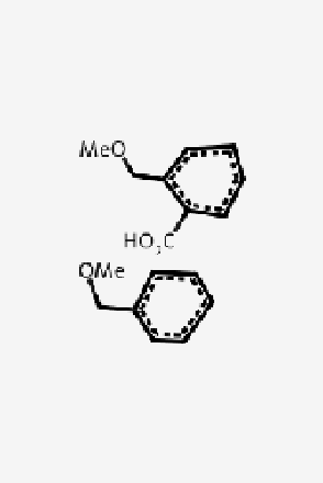 COCc1ccccc1.COCc1ccccc1C(=O)O